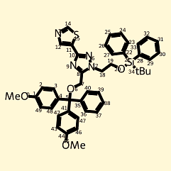 COc1ccc(C(OCc2nc(-c3cncs3)nn2CCO[Si](c2ccccc2)(c2ccccc2)C(C)(C)C)(c2ccccc2)c2ccc(OC)cc2)cc1